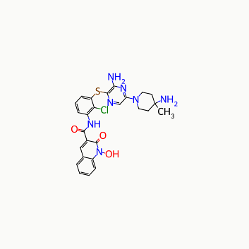 CC1(N)CCN(c2cnc(Sc3cccc(NC(=O)c4cc5ccccc5n(O)c4=O)c3Cl)c(N)n2)CC1